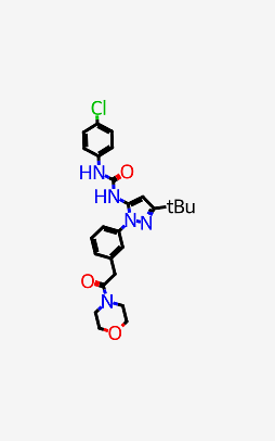 CC(C)(C)c1cc(NC(=O)Nc2ccc(Cl)cc2)n(-c2cccc(CC(=O)N3CCOCC3)c2)n1